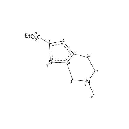 CCOC(=O)c1cc2c(s1)CN(C)CC2